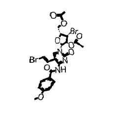 COc1ccc(C(=O)Nc2nc(=O)n([C@@H]3O[C@H](COC(C)=O)[C@H](Br)[C@H]3OC(C)=O)cc2/C=C/Br)cc1